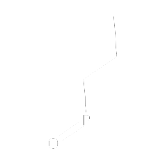 CCCP=O